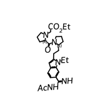 CCOC(=O)CN1CCC[C@@H]1C(=O)N1CCC[C@H]1CCc1cc2ccc(C(=N)NC(C)=O)cc2n1CC